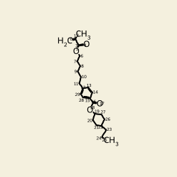 C=C(C)C(=O)OCCCCCCc1ccc(C(=O)OC2CCC(CCC)CC2)cc1